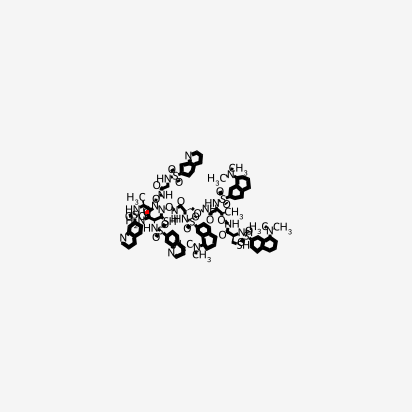 C[C@H](NS(=O)(=O)c1ccc2cccnc2c1)C(=O)N(ONC(=O)CNS(=O)(=O)c1ccc2cccnc2c1)N(ONC(=O)[C@H](CONC(=O)[C@@H](NS(=O)(=O)c1ccc2cccc(N(C)C)c2c1)[C@@H](C)ONC(=O)[C@H](CS)NS(=O)(=O)c1ccc2cccc(N(C)C)c2c1)NS(=O)(=O)c1ccc2cccc(N(C)C)c2c1)C(S)[C@H](NS(=O)(=O)c1ccc2cccnc2c1)C(N)=O